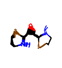 O=C(C1NCCS1)C1NCCS1